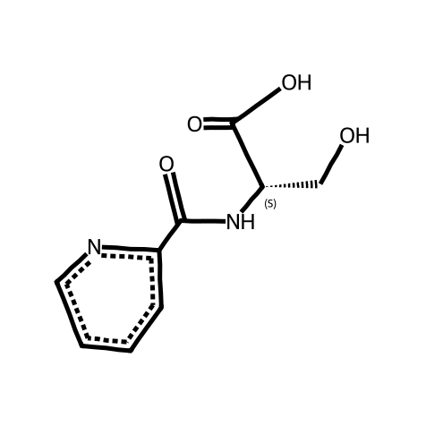 O=C(N[C@@H](CO)C(=O)O)c1ccccn1